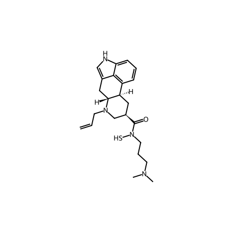 C=CCN1C[C@H](C(=O)N(S)CCCN(C)C)C[C@@H]2c3cccc4[nH]cc(c34)C[C@H]21